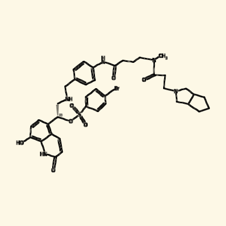 CN(CCCC(=O)Nc1ccc(CNC[C@H](OS(=O)(=O)c2ccc(Br)cc2)c2ccc(O)c3[nH]c(=O)ccc23)cc1)C(=O)CCN1CC2CCCC2C1